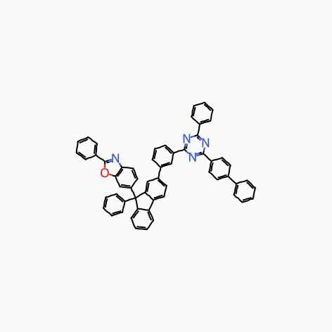 c1ccc(-c2ccc(-c3nc(-c4ccccc4)nc(-c4cccc(-c5ccc6c(c5)C(c5ccccc5)(c5ccc7nc(-c8ccccc8)oc7c5)c5ccccc5-6)c4)n3)cc2)cc1